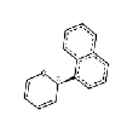 C1=CO[C@@H](c2cccc3ccccc23)C=C1